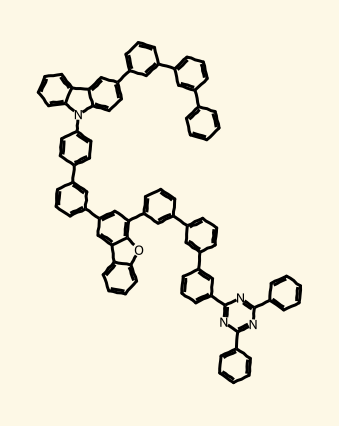 c1ccc(-c2cccc(-c3cccc(-c4ccc5c(c4)c4ccccc4n5-c4ccc(-c5cccc(-c6cc(-c7cccc(-c8cccc(-c9cccc(-c%10nc(-c%11ccccc%11)nc(-c%11ccccc%11)n%10)c9)c8)c7)c7oc8ccccc8c7c6)c5)cc4)c3)c2)cc1